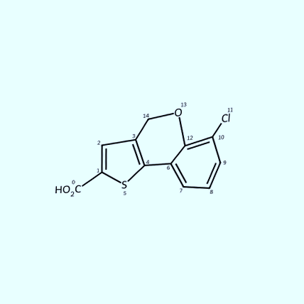 O=C(O)c1cc2c(s1)-c1cccc(Cl)c1OC2